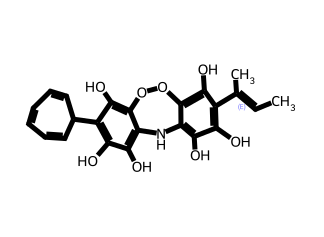 C/C=C(\C)c1c(O)c(O)c2[nH]c3c(O)c(O)c(C4C=CC=CC=C4)c(O)c3ooc2c1O